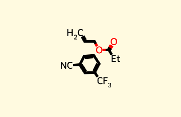 C=CCOC(=O)CC.N#Cc1cccc(C(F)(F)F)c1